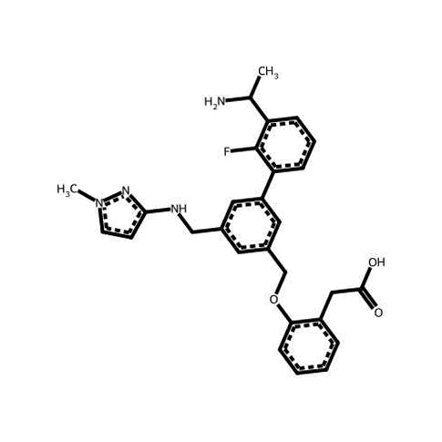 CC(N)c1cccc(-c2cc(CNc3ccn(C)n3)cc(COc3ccccc3CC(=O)O)c2)c1F